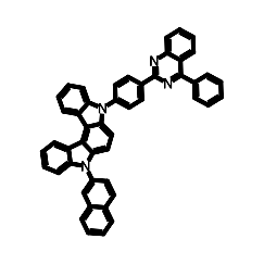 c1ccc(-c2nc(-c3ccc(-n4c5ccccc5c5c6c7ccccc7n(-c7ccc8ccccc8c7)c6ccc54)cc3)nc3ccccc23)cc1